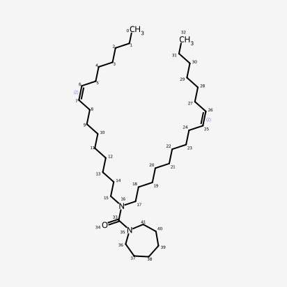 CCCCCC/C=C\CCCCCCCCN(CCCCCCCC/C=C\CCCCCC)C(=O)N1CCCCCC1